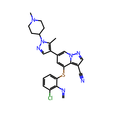 C=Nc1c(Cl)cccc1Sc1cc(-c2cnn(C3CCN(C)CC3)c2C)cn2ncc(C#N)c12